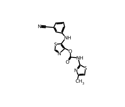 Cc1csc(NC(=O)Oc2ncsc2Nc2cccc(C#N)c2)n1